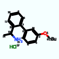 CCCCOc1cccc(-c2ccccc2C(C)N)c1.Cl